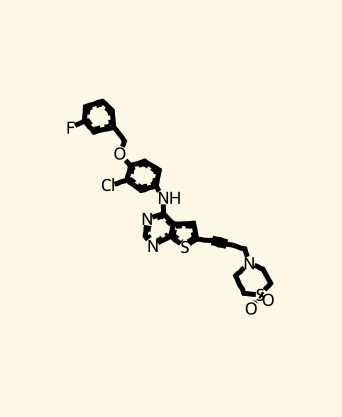 O=S1(=O)CCN(CC#Cc2cc3c(Nc4ccc(OCc5cccc(F)c5)c(Cl)c4)ncnc3s2)CC1